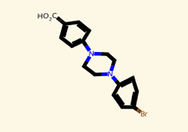 O=C(O)c1ccc(N2CCN(c3ccc(Br)cc3)CC2)cc1